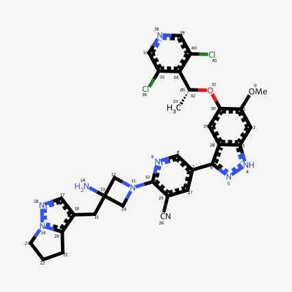 COc1cc2[nH]nc(-c3cnc(N4CC(N)(Cc5cnn6c5CCC6)C4)c(C#N)c3)c2cc1O[C@H](C)c1c(Cl)cncc1Cl